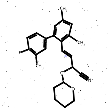 Cc1cc(C)c(/C=C/C(C#N)OC2CCCCO2)c(-c2ccc(F)c(C)c2)c1